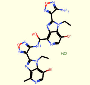 CCn1c(-c2nonc2NC(O)c2ncc(Br)c3c2nc(-c2nonc2N)n3CC)nc2c(C)ncc(Br)c21.Cl